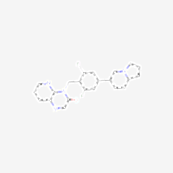 O=c1cnc2cccnc2n1Cc1c(F)cc(-c2ccc3cccn3c2)cc1F